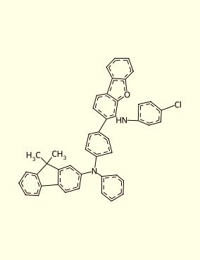 CC1(C)c2ccccc2-c2ccc(N(c3ccccc3)c3ccc(-c4ccc5c(oc6ccccc65)c4Nc4ccc(Cl)cc4)cc3)cc21